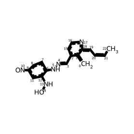 C=c1c(/C=N/Nc2ccc(N=O)cc2NO)ccn/c1=C/C=C\C